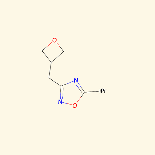 CC(C)c1nc(CC2COC2)no1